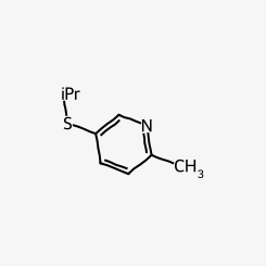 Cc1ccc(SC(C)C)cn1